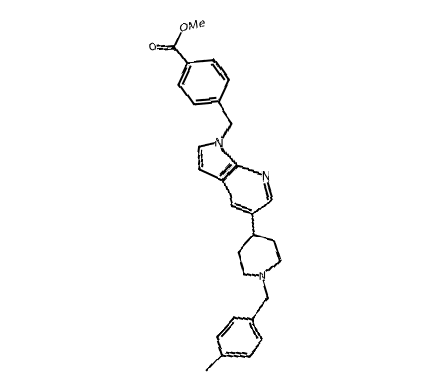 COC(=O)c1ccc(Cn2ccc3cc(C4CCN(Cc5ccc(C)cc5)CC4)cnc32)cc1